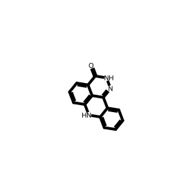 O=c1[nH]nc2c3c(cccc13)Nc1ccccc1-2